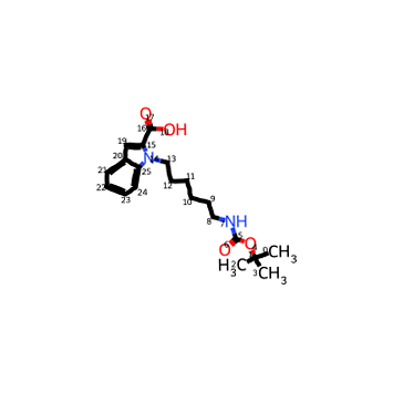 CC(C)(C)OC(=O)NCCCCCCn1c(C(=O)O)cc2ccccc21